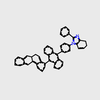 C1=Cc2c(nc(-c3ccccc3)n2-c2ccc(-c3c4ccccc4c(-c4cccc5c4=CCC4C=c6ccccc6=CC=54)c4ccccc34)cc2)CC1